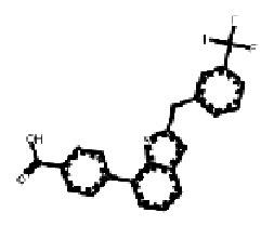 O=C(O)c1ccc(-c2cccc3cc(Cc4cccc(C(F)(F)F)c4)sc23)cc1